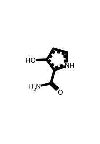 NC(=O)c1[nH]ccc1O